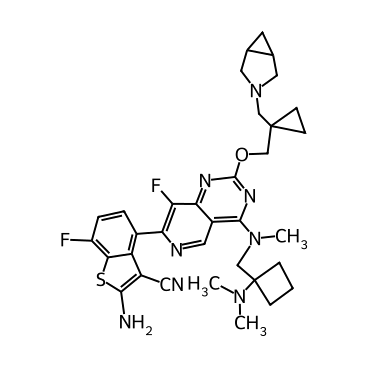 CN(CC1(N(C)C)CCC1)c1nc(OCC2(CN3CC4CC4C3)CC2)nc2c(F)c(-c3ccc(F)c4sc(N)c(C#N)c34)ncc12